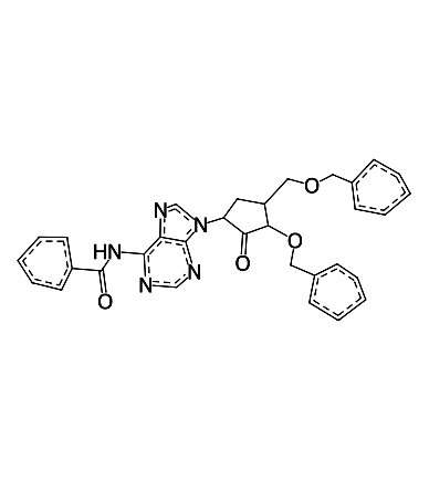 O=C(Nc1ncnc2c1ncn2C1CC(COCc2ccccc2)C(OCc2ccccc2)C1=O)c1ccccc1